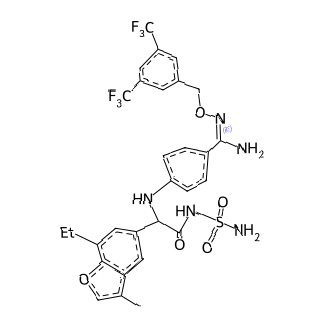 CCc1cc(C(Nc2ccc(/C(N)=N\OCc3cc(C(F)(F)F)cc(C(F)(F)F)c3)cc2)C(=O)NS(N)(=O)=O)cc2c(C)coc12